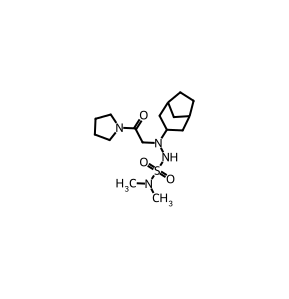 CN(C)S(=O)(=O)NN(CC(=O)N1CCCC1)C1CC2CCC(C2)C1